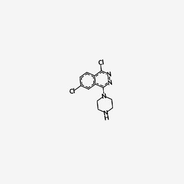 Clc1ccc2c(Cl)nnc(N3CCNCC3)c2c1